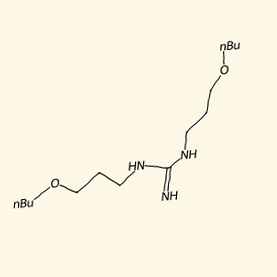 CCCCOCCCNC(=N)NCCCOCCCC